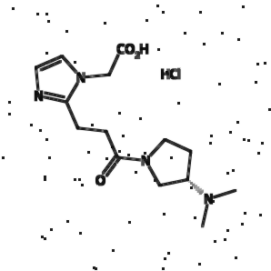 CN(C)[C@H]1CCN(C(=O)CCc2nccn2CC(=O)O)C1.Cl